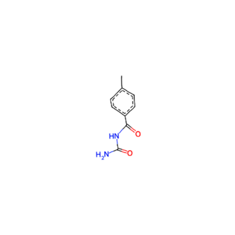 Cc1ccc(C(=O)NC(N)=O)cc1